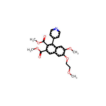 COCCOc1cc2cc(C(=O)OC)c(C(=O)OC)c(-c3ccncc3)c2cc1OC